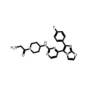 NCC(=O)N1CCC(Nc2nccc(-c3c(-c4ccc(F)cc4)nc4occn34)n2)CC1